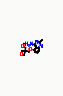 COCC1(COc2cccc3nc(C)nc(N)c23)COC1